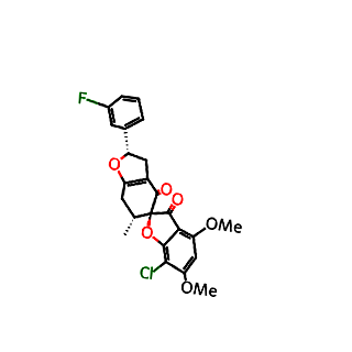 COc1cc(OC)c2c(c1Cl)O[C@@]1(C(=O)C3=C(C[C@H]1C)O[C@H](c1cccc(F)c1)C3)C2=O